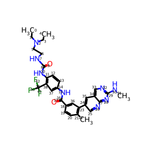 CCN(CC)CCNC(=O)Nc1ccc(NC(=O)c2ccc(C)c(-c3cnc4nc(NC)ncc4c3)c2)cc1C(F)(F)F